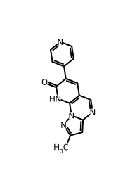 Cc1cc2ncc3cc(-c4ccncc4)c(=O)[nH]c3n2n1